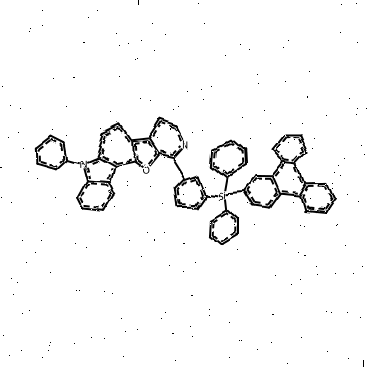 c1ccc(-n2c3ccccc3c3c4oc5c(-c6cccc([Si](c7ccccc7)(c7ccccc7)c7ccc8c9ccccc9c9ccccc9c8c7)c6)nccc5c4ccc32)cc1